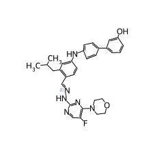 CC(C)Cc1cc(Nc2ccc(-c3cccc(O)c3)cc2)ccc1/C=N/Nc1ncc(F)c(N2CCOCC2)n1